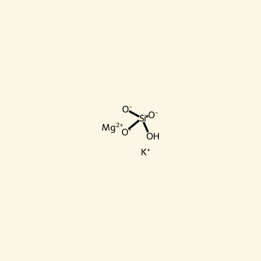 [K+].[Mg+2].[O-][Si]([O-])([O-])O